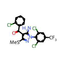 CSc1nn(-c2c(Cl)cc(C(F)(F)F)cc2Cl)c(N)c1C(=O)c1ccccc1Cl